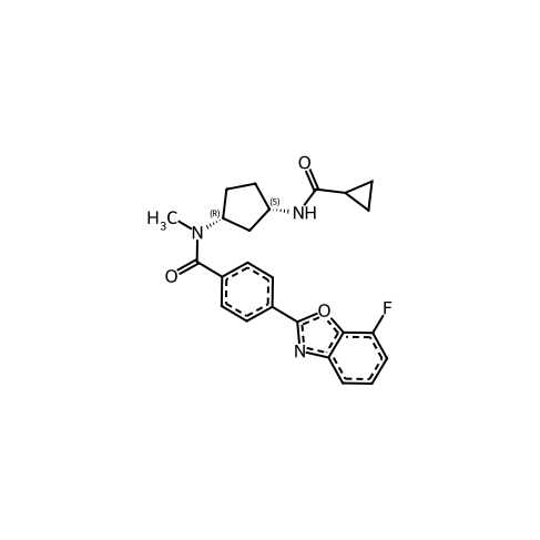 CN(C(=O)c1ccc(-c2nc3cccc(F)c3o2)cc1)[C@@H]1CC[C@H](NC(=O)C2CC2)C1